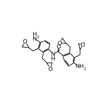 Nc1ccc(NC(=O)c2ccc(N)c(CC3CO3)c2CC2CO2)c(CC2CO2)c1CC1CO1